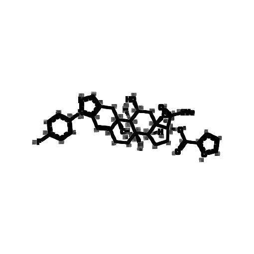 CSC(=O)[C@@]1(OC(=O)c2ccco2)CC[C@H]2[C@@H]3CCC4=Cc5c(cnn5-c5ccc(F)cc5)C[C@]4(C)[C@H]3[C@@H](O)C[C@@]21C